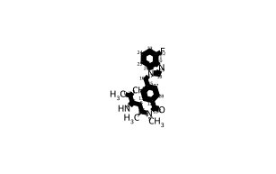 CC(C)C(=N)C[C@@H](C)N(C)C(=O)c1ccc(Cn2cnc3c(F)cccc32)cc1